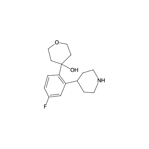 OC1(c2ccc(F)cc2C2CCNCC2)CCOCC1